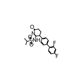 CC(C)S(=O)(=O)NC1=NC(=O)CCC1c1ccc(-c2ccc(F)cc2F)cc1